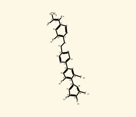 C/C(F)=C(\F)c1ccc(CCc2ccc(-c3cc(F)c(-c4cc(F)c(F)c(F)c4)c(F)c3)cc2)c(F)c1